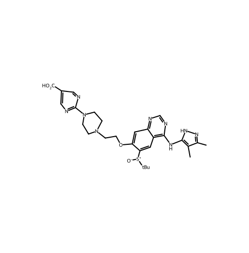 Cc1n[nH]c(Nc2ncnc3cc(OCCN4CCN(c5ncc(C(=O)O)cn5)CC4)c([S+]([O-])C(C)(C)C)cc23)c1C